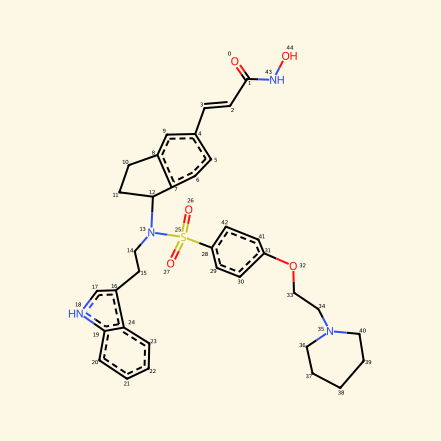 O=C(C=Cc1ccc2c(c1)CCC2N(CCc1c[nH]c2ccccc12)S(=O)(=O)c1ccc(OCCN2CCCCC2)cc1)NO